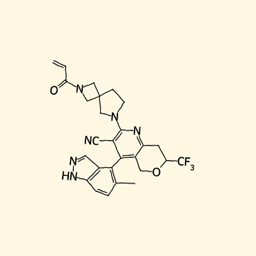 C=CC(=O)N1CC2(CCN(c3nc4c(c(-c5c(C)ccc6[nH]ncc56)c3C#N)COC(C(F)(F)F)C4)C2)C1